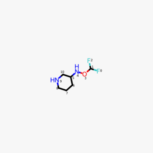 FC(F)ONC1CCCNC1